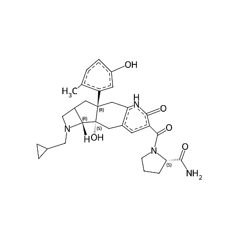 Cc1ccc(O)cc1[C@@]12Cc3[nH]c(=O)c(C(=O)N4CCC[C@H]4C(N)=O)cc3C[C@@]1(O)[C@H]1C(CN1CC1CC1)C2